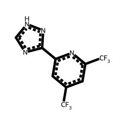 FC(F)(F)c1cc(-c2nc[nH]n2)nc(C(F)(F)F)c1